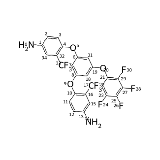 Nc1ccc(Oc2cc(Oc3ccc(N)cc3C(F)(F)F)cc(Oc3cc(F)c(F)c(F)c3F)c2)c(C(F)(F)F)c1